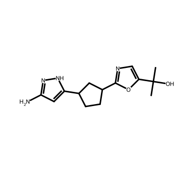 CC(C)(O)c1cnc(C2CCC(c3cc(N)n[nH]3)C2)o1